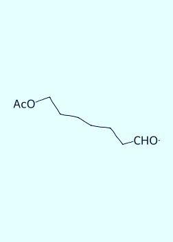 CC(=O)OCCCCCC[C]=O